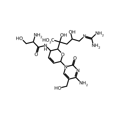 NC(N)=NCC(O)CC(O)(C(=O)O)C1OC(n2cc(CO)c(N)nc2=O)C=CC1NC(=O)C(N)CO